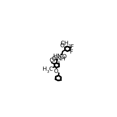 CCc1c(C(=O)NNC(=O)Cc2cc(F)c(F)cc2OC)ccc(OCc2ccccc2)c1C